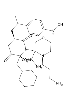 CC(C[C@@H]1CC(=O)[C@](CC2CCCCC2)(C(=O)O)N(C2(C(N)=O)COCCN2CCCN)C1=O)c1ccc(NO)cc1